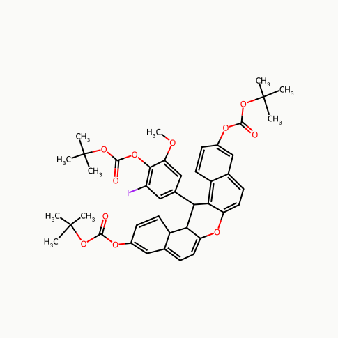 COc1cc(C2c3c(ccc4cc(OC(=O)OC(C)(C)C)ccc34)OC3=CC=C4C=C(OC(=O)OC(C)(C)C)C=CC4C32)cc(I)c1OC(=O)OC(C)(C)C